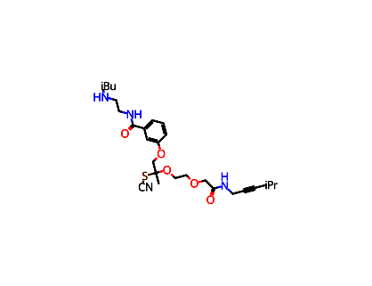 CCC(C)NCCNC(=O)c1cccc(OCC(C)(OCCOCC(=O)NCC#CC(C)C)SC#N)c1